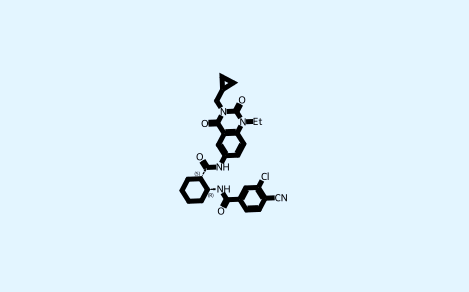 CCn1c(=O)n(CC2CC2)c(=O)c2cc(NC(=O)[C@H]3CCCC[C@H]3NC(=O)c3ccc(C#N)c(Cl)c3)ccc21